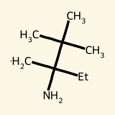 [CH2]C(N)(CC)C(C)(C)C